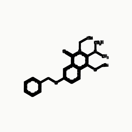 CCCCOc1c(N(C)C(=O)O)n(CC(C)(C)C)c(=O)c2cc(OCc3ccccc3)ccc12